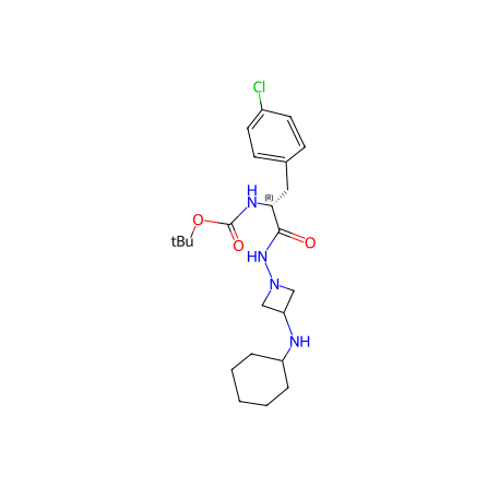 CC(C)(C)OC(=O)N[C@H](Cc1ccc(Cl)cc1)C(=O)NN1CC(NC2CCCCC2)C1